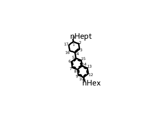 CCCCCCCC1CC=C(c2ccc3cc(CCCCCC)ccc3c2)CC1